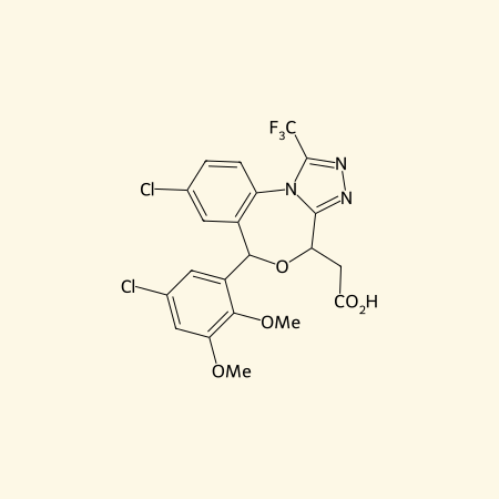 COc1cc(Cl)cc(C2OC(CC(=O)O)c3nnc(C(F)(F)F)n3-c3ccc(Cl)cc32)c1OC